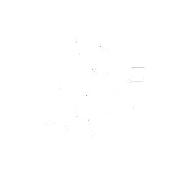 Nc1nc(-n2cc(C(=O)O)c(=O)c3cc(F)c(N4CCC4)c(Cl)c32)c(F)cc1F